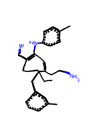 CCC1(Cc2cccc(C)c2)CC(C=N)=C(Nc2ccc(C)cc2)C=C1CCN